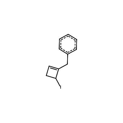 IC1CC=C1Cc1ccccc1